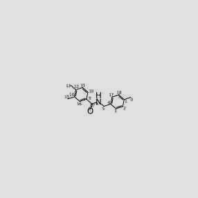 Cc1ccc(CNC(=O)c2ccc(C)c(C)c2)cc1